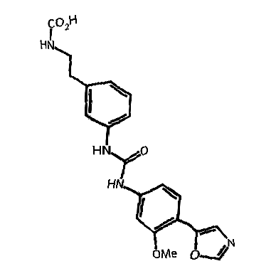 COc1cc(NC(=O)Nc2cccc(CCNC(=O)O)c2)ccc1-c1cnco1